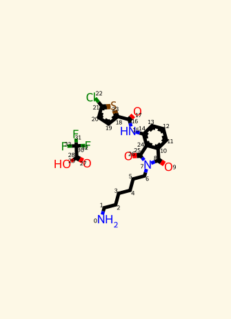 NCCCCCCN1C(=O)c2cccc(NC(=O)c3ccc(Cl)s3)c2C1=O.O=C(O)C(F)(F)F